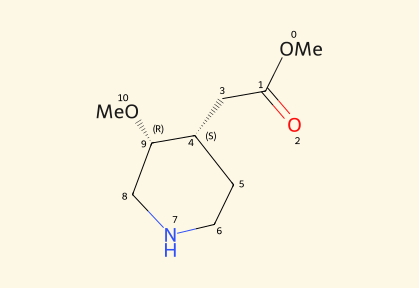 COC(=O)C[C@@H]1CCNC[C@@H]1OC